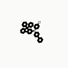 Clc1ccc(N(c2ccc(-c3ccccc3)cc2)c2ccc3c(c2)C(c2ccccc2)(c2ccccc2)c2ccccc2-3)cc1